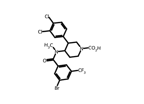 CN(C(=O)c1cc(Br)cc(C(F)(F)F)c1)C1CCN(C(=O)O)CC1c1ccc(Cl)c(Cl)c1